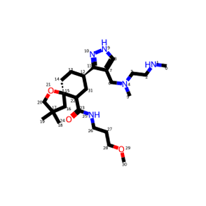 CNCCN(C)Cc1c[nH]nc1[C@@H]1CC[C@@]2(CC(C)(C)CO2)C(C(=O)NCCCOC)C1